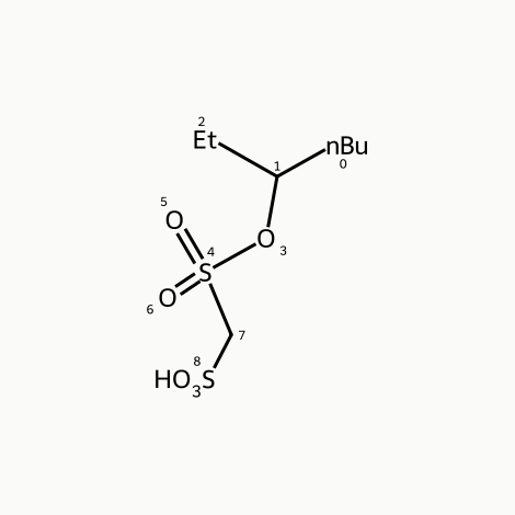 CCCCC(CC)OS(=O)(=O)CS(=O)(=O)O